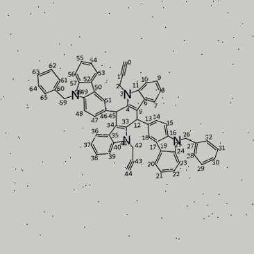 C#CCn1c2c(c3ccccc31)C(c1ccc3c(c1)c1ccccc1n3Cc1ccccc1)c1c(c3ccccc3n1CC#C)C2c1ccc2c(c1)c1ccccc1n2Cc1ccccc1